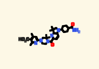 Cc1cc(N2CCN(C(=O)c3ccc4c(n3)C(C)(C)CN4C3CCC(C(N)=O)CC3)C(C)(C)C2)nc(C)c1C(=O)O